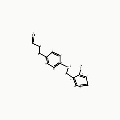 O=CCCc1ccc(OCc2ccccc2F)cc1